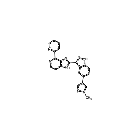 Cn1cc(-c2ccc3[nH]nc(-c4nc5c(-c6ccccn6)nccc5[nH]4)c3c2)cn1